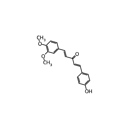 COc1ccc(C=CC(=O)C=Cc2ccc(O)cc2)cc1OC